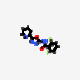 O=C(Nc1nnc(-c2ccccn2)o1)c1c(F)cccc1F